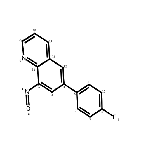 O=Nc1cc(-c2ccc(F)cc2)cc2cccnc12